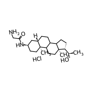 C[C@@H](O)[C@H]1CCC2C3CC[C@H]4C[C@H](NC(=O)CN)CC[C@]4(C)C3CC[C@@]21C.Cl